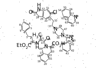 CCOC(=O)[C@H](CCc1ccccc1)N[C@@H](C)C(=O)N1Cc2ccccc2C[C@H]1C(=O)O.O=C1Cc2cc(CCN3CCN(c4nsc5ccccc45)CC3)c(Cl)cc2N1.c1ccc2ncccc2c1